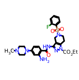 CCOC(=O)n1nc(NC(=O)c2ccc(N3CCN(C)CC3)cc2N)c2c1CCN(S(=O)(=O)c1ccccc1F)C2